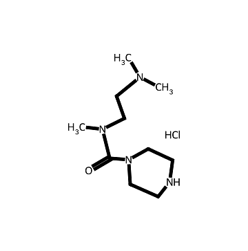 CN(C)CCN(C)C(=O)N1CCNCC1.Cl